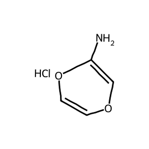 Cl.NC1=COC=CO1